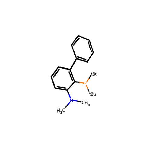 CN(C)c1cccc(-c2ccccc2)c1P(C(C)(C)C)C(C)(C)C